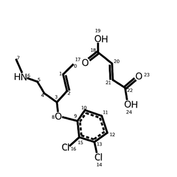 C/C=C/C(CCNC)Oc1cccc(Cl)c1Cl.O=C(O)/C=C/C(=O)O